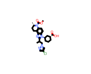 COC(=O)N1c2ccc3c(nc(C(C)Cn4cc(Cl)cn4)n3[C@@H]3CCC[C@@H](C(=O)O)C3)c2CC[C@@H]1C